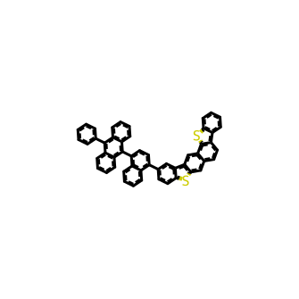 c1ccc(-c2c3ccccc3c(-c3ccc(-c4ccc5sc6cc7ccc8c9ccccc9sc8c7cc6c5c4)c4ccccc34)c3ccccc23)cc1